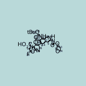 Cc1c(-c2cc3cc(NC(=O)O[C@@H]4CCOC4)ncc3c(NC(=O)OC(C)(C)C)c2F)cnc2c1N(C(=O)O)CC(F)O2